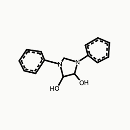 OC1C(O)N(c2ccccc2)CN1c1ccccc1